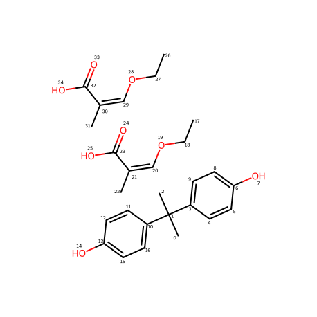 CC(C)(c1ccc(O)cc1)c1ccc(O)cc1.CCOC=C(C)C(=O)O.CCOC=C(C)C(=O)O